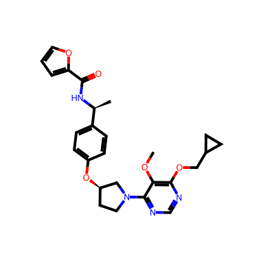 COc1c(OCC2CC2)ncnc1N1CC[C@@H](Oc2ccc([C@H](C)NC(=O)c3ccco3)cc2)C1